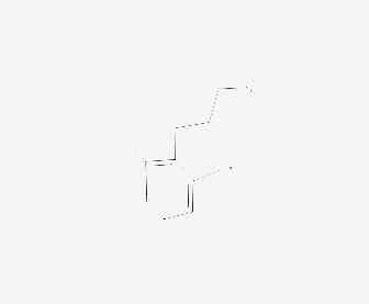 CCCCCCCCCCCCc1c(O)cccc1S(=O)(=O)O